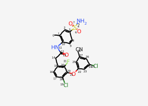 Cc1cc(S(N)(=O)=O)ccc1NC(=O)Cc1ccc(Cl)c(Oc2cc(Cl)cc(C#N)c2)c1F